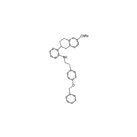 COc1ccc2c(c1)CCC(c1ccccc1NCCc1ccc(OCc3ccccc3)cc1)C2